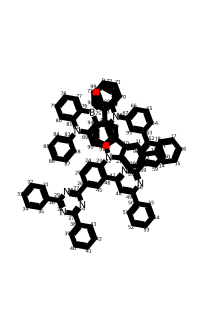 c1ccc(-c2ccc3c(c2)c2cc(-c4ccccc4)ccc2n3-c2ccc(-c3nc(-c4ccccc4)nc(-c4ccccc4)n3)cc2-c2cc(-c3ccccc3)nc(-c3cccc(-c4cccc(N5c6ccccc6B6c7ccccc7N(c7ccccc7)c7cccc5c76)c4)c3)n2)cc1